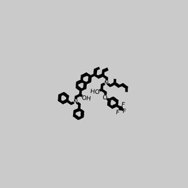 C=C/C(=C\C(=C/C)c1ccc2ccc(C(O)CN(Cc3ccccc3)Cc3ccccc3)cc2c1)CN(C/C(C)=C/C=C\C)CC(O)COc1ccc(C(F)(F)F)cc1